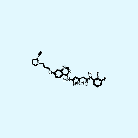 C#C[C@@H]1CCCN1CCCOc1ccc2c(Nc3cc(CC(=O)Nc4cccc(F)c4F)[nH]n3)ncnc2c1